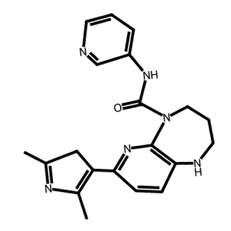 CC1=NC(C)=C(c2ccc3c(n2)N(C(=O)Nc2cccnc2)CCCN3)C1